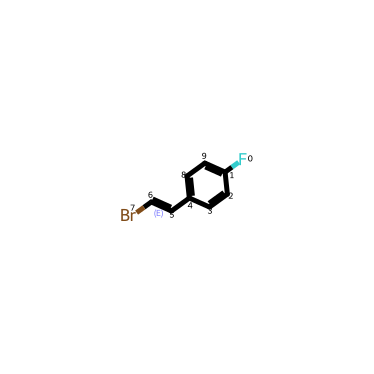 Fc1ccc(/C=C/Br)cc1